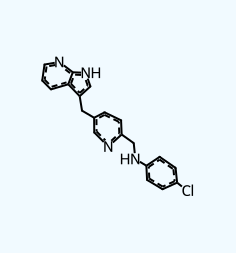 Clc1ccc(NCc2ccc(Cc3c[nH]c4ncccc34)cn2)cc1